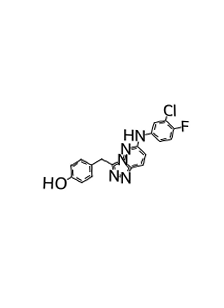 Oc1ccc(Cc2nnc3ccc(Nc4ccc(F)c(Cl)c4)nn23)cc1